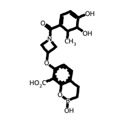 CC1C(C(=O)N2CC(Oc3ccc4c(c3C(=O)O)OB(O)CC4)C2)=CC=C(O)C1O